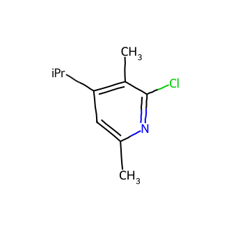 Cc1cc(C(C)C)c(C)c(Cl)n1